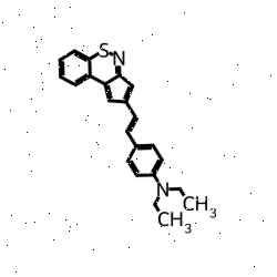 CCN(CC)c1ccc(C=Cc2cc3nsc4ccccc4c-3c2)cc1